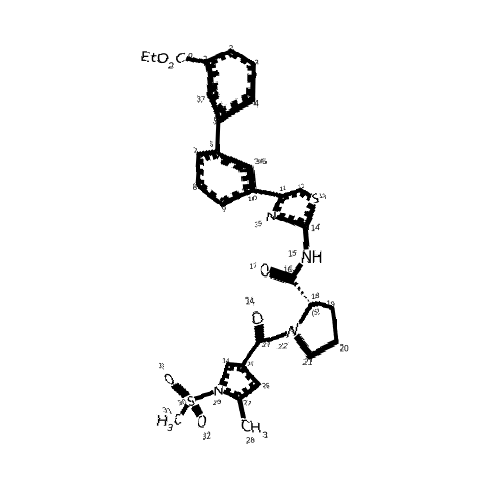 CCOC(=O)c1cccc(-c2cccc(-c3csc(NC(=O)[C@@H]4CCCN4C(=O)c4cc(C)n(S(C)(=O)=O)c4)n3)c2)c1